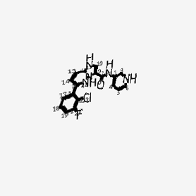 O=C(NC1=CC=CNC1)C1=CNC2C=CC(c3cccc(F)c3Cl)NN12